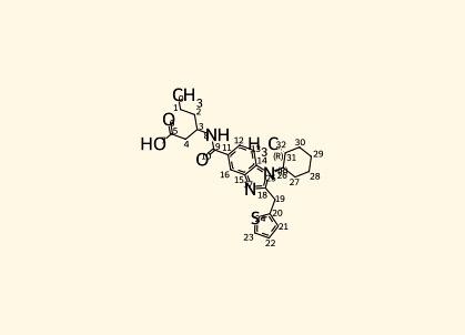 CCCC(CC(=O)O)NC(=O)c1ccc2c(c1)nc(Cc1cccs1)n2[C@@H]1CCCC[C@H]1C